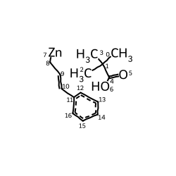 CC(C)(C)C(=O)O.[Zn][CH2]C=Cc1ccccc1